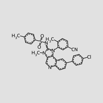 Cc1ccc(S(=O)(=O)/N=c2\n(C)c3cnc4ccc(-c5ccc(Cl)cc5)cc4c3n2-c2cc(C#N)ccc2C)cc1